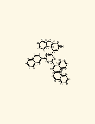 C1=C(c2nc(-c3ccc4ccccc4c3)nc(-c3cc4ccc5ccccc5c4c4ccccc34)n2)c2c(oc3ccccc23)CN1